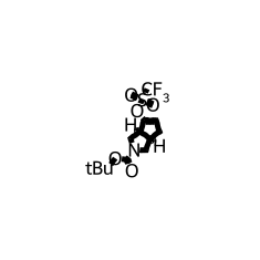 CC(C)(C)OC(=O)N1C[C@H]2CC=C(OS(=O)(=O)C(F)(F)F)[C@H]2C1